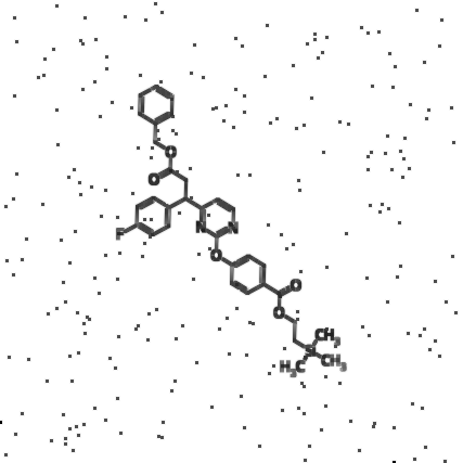 C[Si](C)(C)CCOC(=O)c1ccc(Oc2nccc(C(CC(=O)OCc3ccccc3)c3ccc(F)cc3)n2)cc1